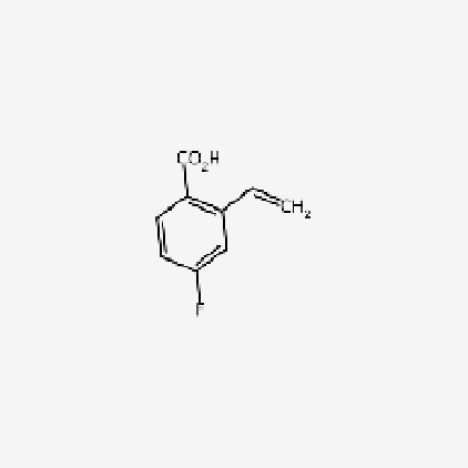 C=Cc1cc(F)ccc1C(=O)O